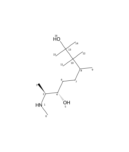 CN[C@@H](C)[C@@H](O)CCC(C)C(C)(C)C(C)(C)O